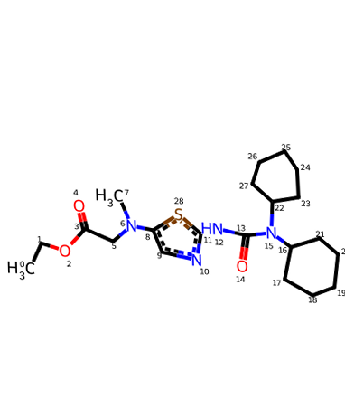 CCOC(=O)CN(C)c1cnc(NC(=O)N(C2CCCCC2)C2CCCCC2)s1